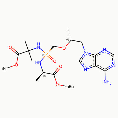 CCCCOC(=O)[C@@H](C)N[P@](=O)(CO[C@H](C)Cn1cnc2c(N)ncnc21)NC(C)(C)C(=O)OC(C)C